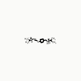 CC(C)S(=O)(=O)NCCOc1ccc(CNS(=O)(=O)C(C)C)cc1